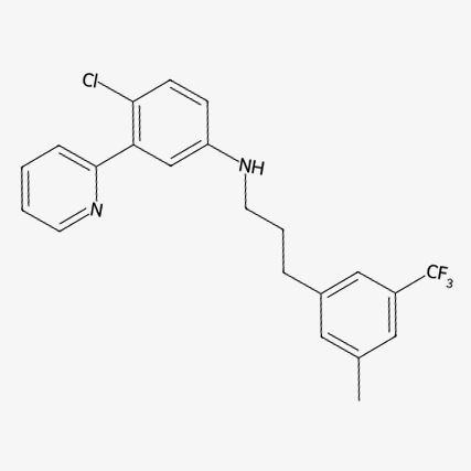 Cc1cc(CCCNc2ccc(Cl)c(-c3ccccn3)c2)cc(C(F)(F)F)c1